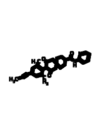 CC#Cc1cc(C)c(C2C(=O)CC3(CCC(C(=O)Nc4ccccn4)CC3)CC2=O)c(C)c1